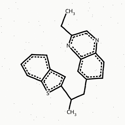 CCc1cnc2ccc(CC(C)c3cc4ccccc4s3)cc2n1